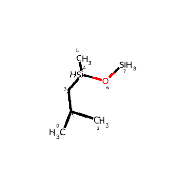 CC(C)C[SiH](C)O[SiH3]